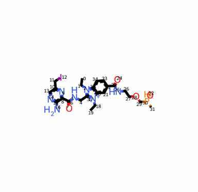 CCn1c(CNC(=O)c2nc(CI)cnc2N)[n+](CC)c2cc(C(=O)NCCOC[PH](C)=O)ccc21